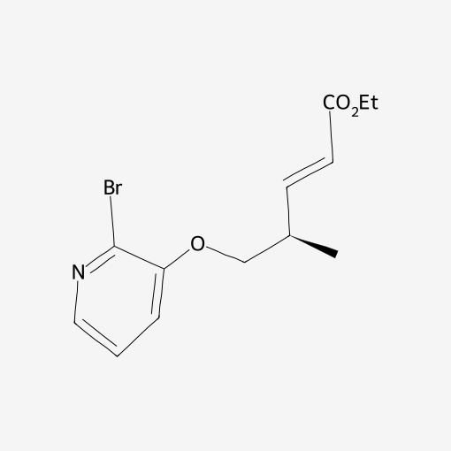 CCOC(=O)/C=C/[C@@H](C)COc1cccnc1Br